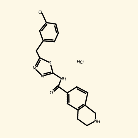 Cl.O=C(Nc1nnc(Cc2cccc(Cl)c2)s1)c1ccc2c(c1)CCNC2